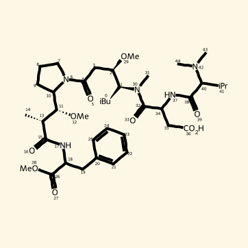 CC[C@H](C)[C@@H]([C@@H](CC(=O)N1CCCC1[C@H](OC)[C@@H](C)C(=O)NC(Cc1ccccc1)C(=O)OC)OC)N(C)C(=O)C(CC(=O)O)NC(=O)C(C(C)C)N(C)C